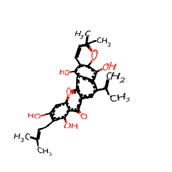 C=C(C)c1cc2c(=O)c3c(O)c(CC=C(C)C)c(O)cc3oc2c2c(O)c3c(c(O)c12)OC(C)(C)C=C3